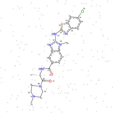 C[C@H](NC(=O)c1ccc2c(c1)nc(Nc1nc3ccc(Cl)cc3s1)n2C)C(=O)N1CCN(C)CC1